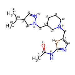 CC(=O)Nc1ncc(CN2CCCC(CN3CC(C(C)C)C=N3)C2)s1